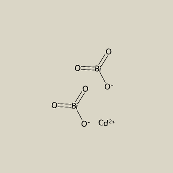 [Cd+2].[O]=[Bi](=[O])[O-].[O]=[Bi](=[O])[O-]